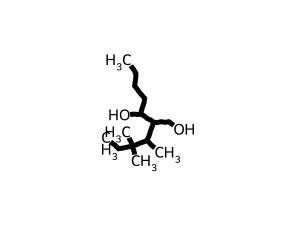 CCCCC(O)C(CO)C(C)C(C)(C)CC